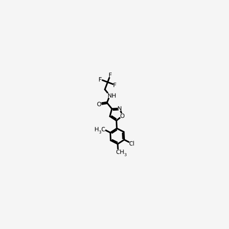 Cc1cc(C)c(-c2cc(C(=O)NCC(F)(F)F)no2)cc1Cl